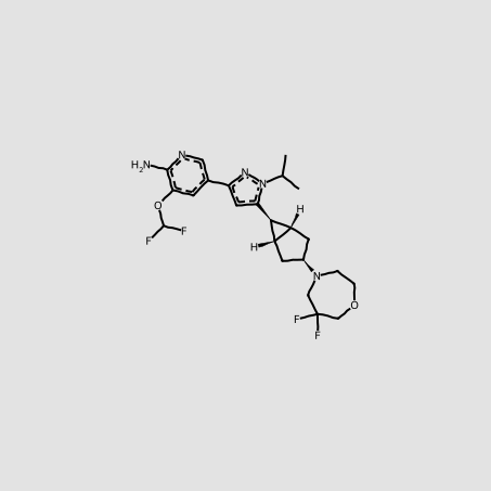 CC(C)n1nc(-c2cnc(N)c(OC(F)F)c2)cc1[C@H]1[C@@H]2C[C@@H](N3CCOCC(F)(F)C3)C[C@@H]21